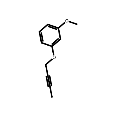 CC#CCOc1[c]ccc(OC)c1